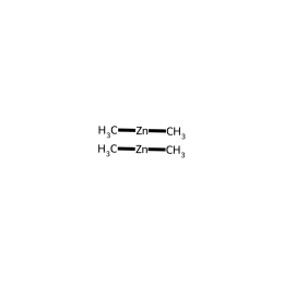 [CH3][Zn][CH3].[CH3][Zn][CH3]